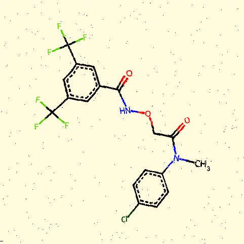 CN(C(=O)CONC(=O)c1cc(C(F)(F)F)cc(C(F)(F)F)c1)c1ccc(Cl)cc1